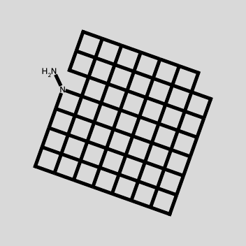 NN1C2C3C4CC5C6C7C8C9C%10CC%11C%12C%13C%14C%15CC%16%17CC%18C%19C%20C%21C%22CC%23CC%24%25C%23%22C%21%22C%20%21C%19%20C%18%16C%16%18C%15%17C%14%15C%13%14C%12%13C%11%10C9%10C89C78C67C54C34C23C1%24C12C%25%22C%215C%20%16C6%11C%15%18C%14%12C%13%10C9%10C89C74C31C9(C%12%106)C52%11